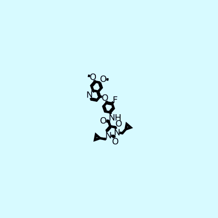 COc1cc2nccc(Oc3ccc(NC(=O)c4cn(CC5CC5)c(=O)n(CC5CC5)c4=O)cc3F)c2cc1OC